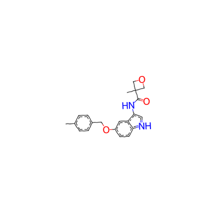 Cc1ccc(COc2ccc3[nH]cc(NC(=O)C4(C)COC4)c3c2)cc1